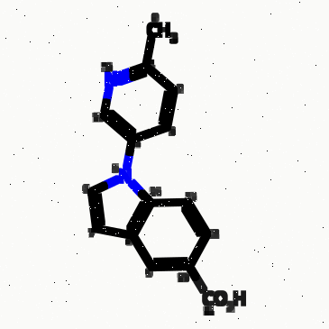 Cc1ccc(-n2ccc3cc(C(=O)O)ccc32)cn1